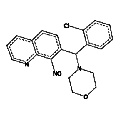 O=Nc1c(C(c2ccccc2Cl)N2CCOCC2)ccc2cccnc12